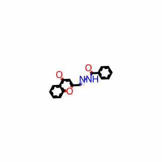 O=C(N/N=C/c1cc(=O)c2ccccc2o1)c1ccccc1